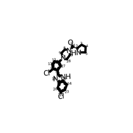 O=C([C@H]1CCCN1)N1CCN(c2ccc(Cl)c(-c3nc4cc(Cl)ccc4[nH]3)c2)CC1